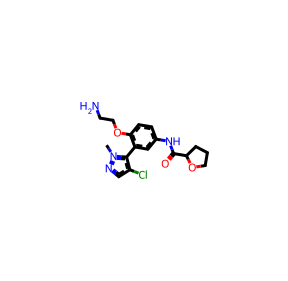 Cn1ncc(Cl)c1-c1cc(NC(=O)C2CCCO2)ccc1OCCN